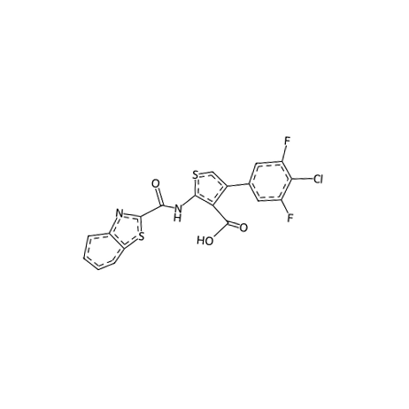 O=C(Nc1scc(-c2cc(F)c(Cl)c(F)c2)c1C(=O)O)c1nc2ccccc2s1